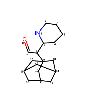 O=CC(C1CCCCN1)C12CC3CC(CC(C3)C1)C2